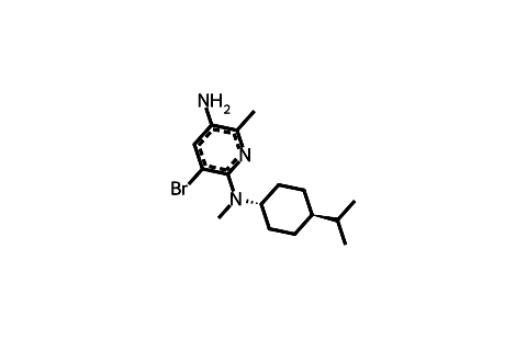 Cc1nc(N(C)[C@H]2CC[C@H](C(C)C)CC2)c(Br)cc1N